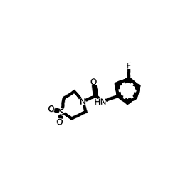 O=C(Nc1cccc(F)c1)N1CCS(=O)(=O)CC1